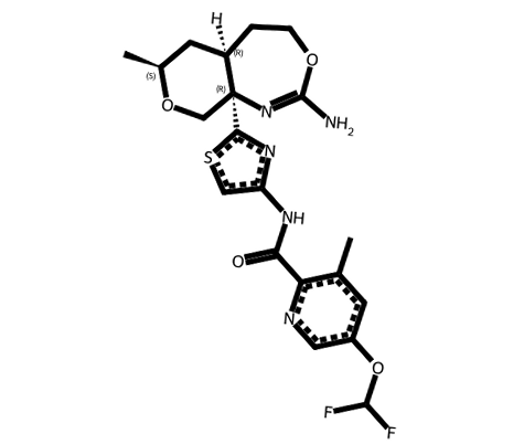 Cc1cc(OC(F)F)cnc1C(=O)Nc1csc([C@]23CO[C@@H](C)C[C@H]2CCOC(N)=N3)n1